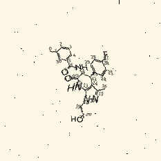 Cc1cccc(C(=O)N[C@@H]2C(=O)Nc3c(c(C)nn3CCO)[C@@H]2c2ccc(F)cc2)c1